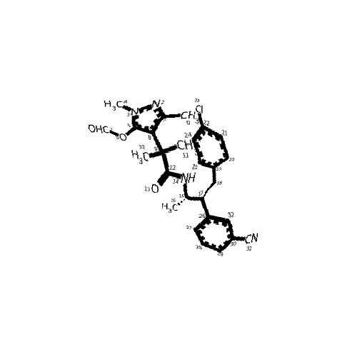 Cc1nn(C)c(OC=O)c1C(C)(C)C(=O)N[C@@H](C)[C@@H](Cc1ccc(Cl)cc1)c1cccc(C#N)c1